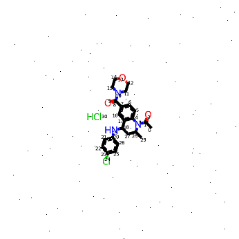 CC(=O)N1c2ccc(C(=O)N3CCOCC3)cc2C(Nc2ccc(Cl)cc2)CC1C.Cl